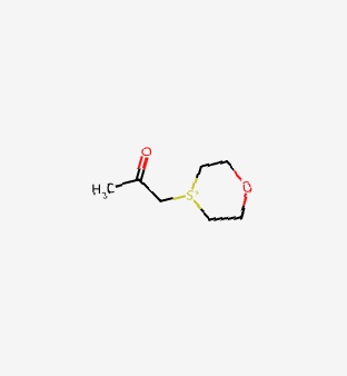 CC(=O)C[S+]1CCOCC1